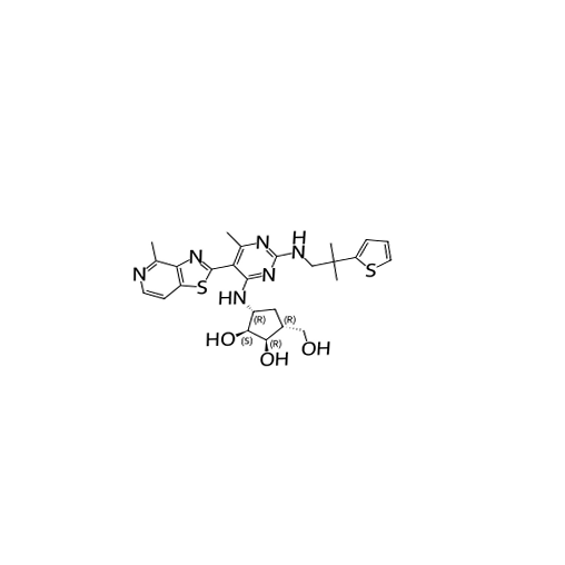 Cc1nc(NCC(C)(C)c2cccs2)nc(N[C@@H]2C[C@H](CO)[C@@H](O)[C@H]2O)c1-c1nc2c(C)nccc2s1